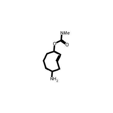 CNC(=O)OC1/C=C/CC(N)CCC1